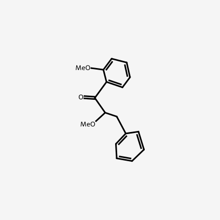 COc1ccccc1C(=O)C(Cc1ccccc1)OC